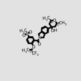 C[C@@H]1CC(O)(c2ccc3c(c2)CN(C(=O)c2cc(S(C)(=O)=O)ccc2O[C@@H](C)C(F)(F)F)C3)C[C@H](C)O1